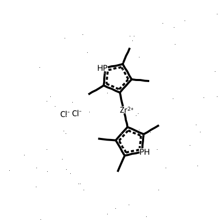 Cc1[pH]c(C)[c]([Zr+2][c]2c(C)[pH]c(C)c2C)c1C.[Cl-].[Cl-]